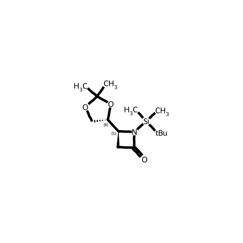 CC1(C)OC[C@@H]([C@@H]2CC(=O)N2[Si](C)(C)C(C)(C)C)O1